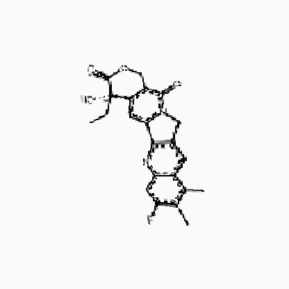 CC[C@@]1(O)C(=O)OCc2c1cc1n(c2=O)Cc2cc3c(C)c(C)c(F)cc3nc2-1